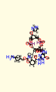 CN(Cc1ccccc1C(=O)Nc1nc2c(ncn2[C@@H]2O[C@@H]3CO[PH](=O)O[C@H]4C[C@H](Oc5ccncn5)C[C@@H]4CO[PH](=O)O[C@@H]2[C@@H]3O)c(=O)[nH]1)C(=O)OCc1ccc(N)cc1